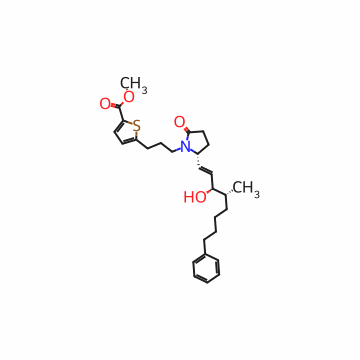 COC(=O)c1ccc(CCCN2C(=O)CC[C@@H]2C=C[C@H](O)[C@H](C)CCCCc2ccccc2)s1